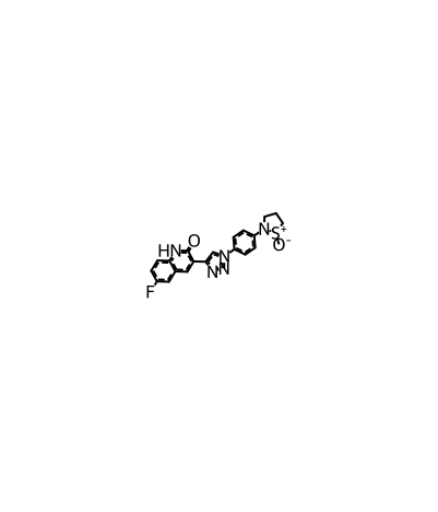 O=c1[nH]c2ccc(F)cc2cc1-c1cn(-c2ccc(N3CCC[S+]3[O-])cc2)nn1